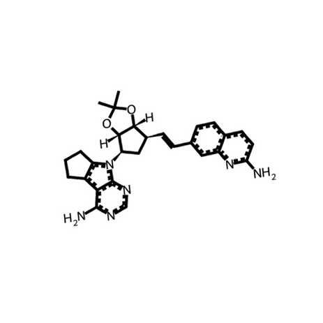 CC1(C)O[C@@H]2[C@H](O1)[C@@H](/C=C/c1ccc3ccc(N)nc3c1)C[C@H]2n1c2c(c3c(N)ncnc31)CCC2